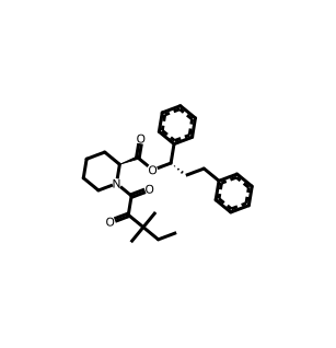 CCC(C)(C)C(=O)C(=O)N1CCCC[C@H]1C(=O)O[C@@H](CCc1ccccc1)c1ccccc1